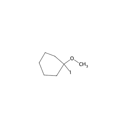 COC1(I)CCCCC1